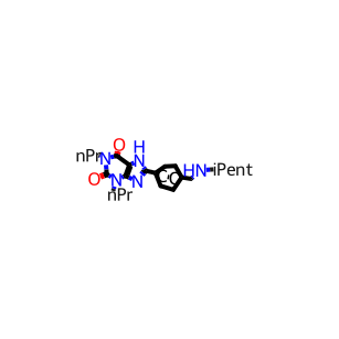 CCCC(C)NCC12CCC(c3nc4c([nH]3)c(=O)n(CCC)c(=O)n4CCC)(CC1)CC2